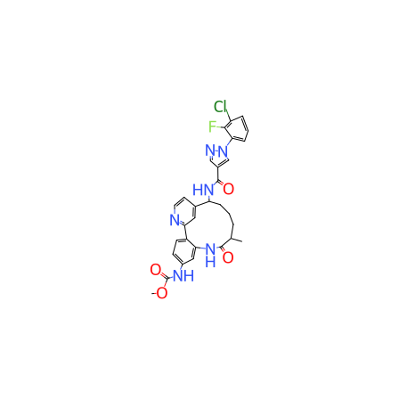 COC(=O)Nc1ccc2c(c1)NC(=O)C(C)CCCC(NC(=O)c1cnn(-c3cccc(Cl)c3F)c1)c1ccnc-2c1